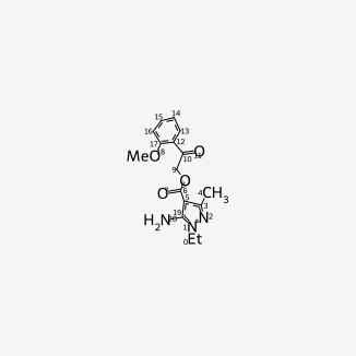 CCn1nc(C)c(C(=O)OCC(=O)c2ccccc2OC)c1N